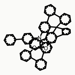 c1ccc(-c2ccc(N(c3ccc4c(c3)C3(c5ccccc5-c5ccccc5-4)c4ccccc4-c4cc5oc6ccccc6c5cc43)c3cccc4c3Oc3ccccc3-c3ccccc3-4)cc2)cc1